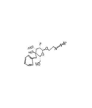 [N-]=[N+]=NCCO[C@H]1O[C@H](CO)[C@](O)(Cc2ccccc2)[C@H](O)[C@@H]1F